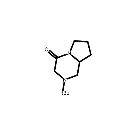 CC(C)(C)N1CC(=O)N2CCCC2C1